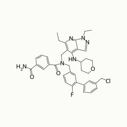 CCc1nc2c(cnn2CC)c(NC2CCOCC2)c1CN(Cc1ccc(F)c(-c2cccc(CCl)c2)c1)C(=O)c1cccc(C(N)=O)c1